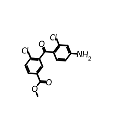 COC(=O)c1ccc(Cl)c(C(=O)c2ccc(N)cc2Cl)c1